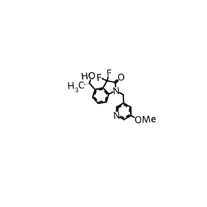 COc1cncc(CN2C(=O)C(F)(F)c3c([C@H](C)O)cccc32)c1